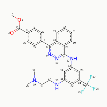 COC(=O)c1ccc(-c2nnc(Nc3cc(NCCN(C)C)cc(C(F)(F)F)c3)c3ccccc23)cc1